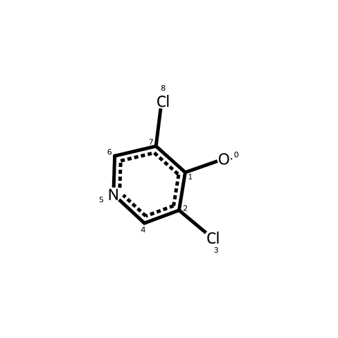 [O]c1c(Cl)cncc1Cl